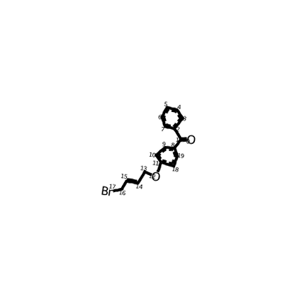 O=C(c1ccccc1)c1ccc(OCC=CCBr)cc1